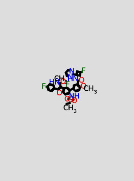 CCCS(=O)(=O)Nc1cc2oc(-c3ccc(F)cc3)c(C(=O)NC)c2c(F)c1-c1ccc(OC)c(C(=O)NC2(c3ncccn3)CC(F)C2)c1